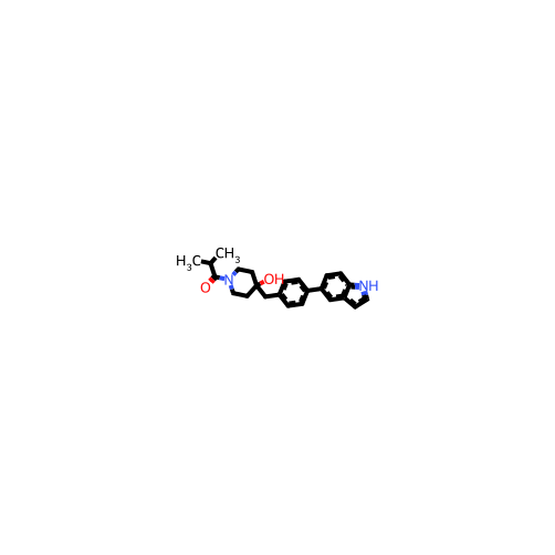 CC(C)C(=O)N1CCC(O)(Cc2ccc(-c3ccc4[nH]ccc4c3)cc2)CC1